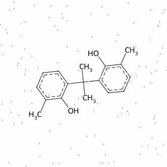 Cc1cccc(C(C)(C)c2cccc(C)c2O)c1O